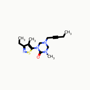 CCC#CCN1CN(C)C(=O)N(c2snc(CC)c2C)C1